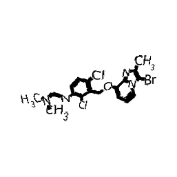 Cc1nc2c(OCc3c(Cl)ccc(N=CN(C)C)c3Cl)cccn2c1Br